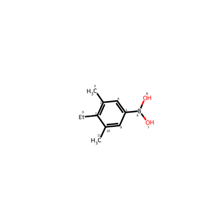 CCc1c(C)cc(B(O)O)cc1C